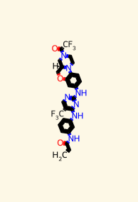 C=CC(=O)Nc1cccc(Nc2nc(Nc3ccc4c(c3)OC[C@H]3CN(C(=O)C(F)(F)F)CCN43)ncc2C(F)(F)F)c1